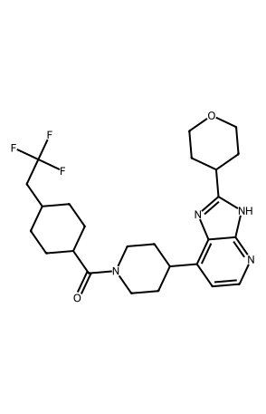 O=C(C1CCC(CC(F)(F)F)CC1)N1CCC(c2ccnc3[nH]c(C4CCOCC4)nc23)CC1